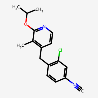 [C-]#[N+]c1ccc(Cc2ccnc(OC(C)C)c2C)c(Cl)c1